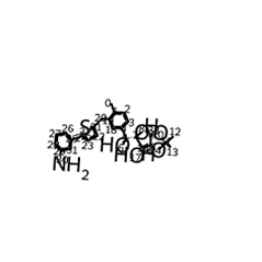 Cc1ccc(C(O)[C@@H]2O[C@H]3OC(C)(C)O[C@H]3[C@@H]2O)cc1Cc1ccc(-c2cccc(N)c2)s1